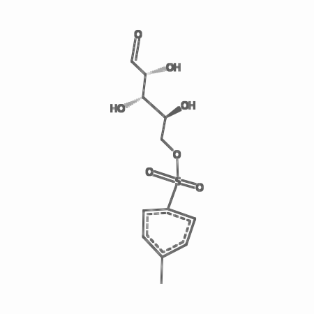 Cc1ccc(S(=O)(=O)OC[C@H](O)[C@H](O)[C@@H](O)C=O)cc1